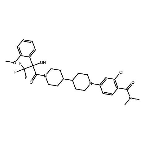 COc1ccccc1C(O)(C(=O)N1CCC(C2CCN(c3ccc(C(=O)N(C)C)c(Cl)c3)CC2)CC1)C(F)(F)F